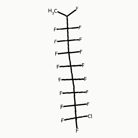 CC(F)C(F)(F)C(F)(F)C(F)(F)C(F)(F)C(F)(F)C(F)(F)C(F)(F)C(F)(F)Cl